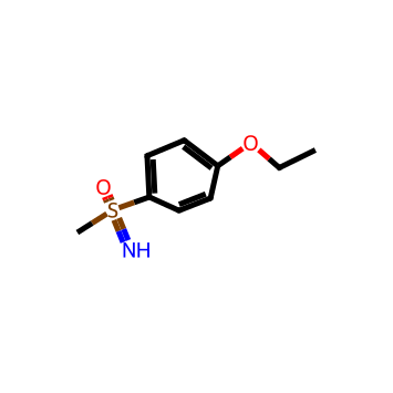 CCOc1ccc(S(C)(=N)=O)cc1